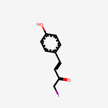 O=C(/C=C/c1ccc(O)cc1)CI